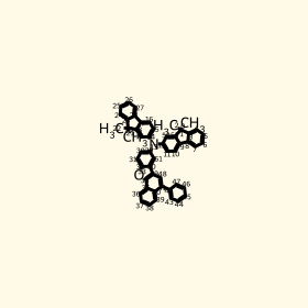 CC1(C)c2ccccc2-c2ccc(N(c3ccc4c(c3)C(C)(C)c3ccccc3-4)c3ccc4oc5c6ccccc6c(-c6ccccc6)cc5c4c3)cc21